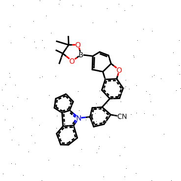 CC1(C)OB(C2=CC3c4cc(-c5cc(-n6c7ccccc7c7ccccc76)ccc5C#N)ccc4OC3C=C2)OC1(C)C